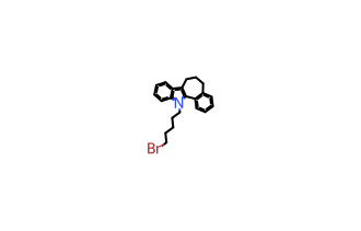 BrCCCCCn1c2c(c3ccccc31)CCCc1ccccc1-2